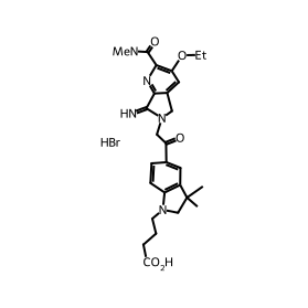 Br.CCOc1cc2c(nc1C(=O)NC)C(=N)N(CC(=O)c1ccc3c(c1)C(C)(C)CN3CCCC(=O)O)C2